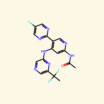 CC(=O)Nc1cc(Nc2cncc(C(C)(F)F)n2)c(-c2ncc(F)cn2)cn1